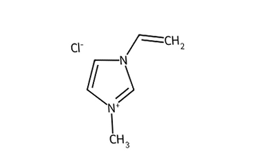 C=Cn1cc[n+](C)c1.[Cl-]